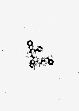 CCC[C@H](NC(=O)[C@@H]1[C@H]2NCC[C@H]2CN1C(=O)[C@@H](NC(=O)[C@H](CC1CCCCC1)NC(=O)c1cnccn1)C(C)(C)C)C(=O)C(=O)N[C@@H](C)c1ccccc1